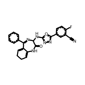 N#Cc1cc(-c2nnc(NC3N=C(c4ccccc4)C4=CCCC=C4NC3=O)o2)ccc1F